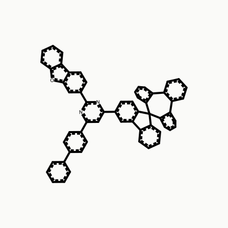 c1ccc(-c2ccc(-c3cc(-c4ccc5c(c4)-c4ccccc4C54c5ccccc5-c5ccccc5-c5ccccc54)nc(-c4ccc5c(c4)oc4ccccc45)n3)cc2)cc1